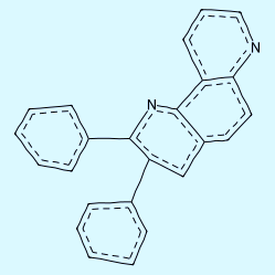 c1ccc(-c2cc3ccc4ncccc4c3nc2-c2ccccc2)cc1